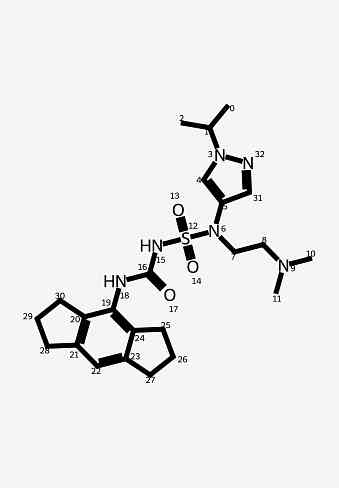 CC(C)n1cc(N(CCN(C)C)S(=O)(=O)NC(=O)Nc2c3c(cc4c2CCC4)CCC3)cn1